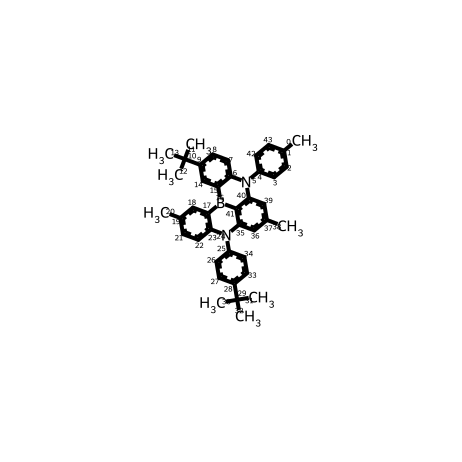 Cc1ccc(N2c3ccc(C(C)(C)C)cc3B3c4cc(C)ccc4N(c4ccc(C(C)(C)C)cc4)c4cc(C)cc2c43)cc1